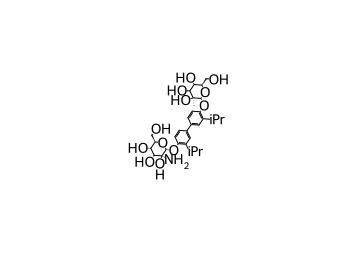 CC(C)c1cc(-c2ccc(O[C@H]3O[C@H](CO)[C@@H](O)[C@H](O)[C@]3(N)O)c(C(C)C)c2)ccc1O[C@H]1O[C@H](CO)[C@@H](O)[C@H](O)[C@]1(C)O